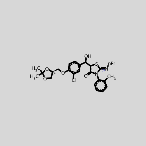 CCC/N=C1\SC(C(O)c2ccc(OC[C@H]3COC(C)(C)O3)c(Cl)c2)C(=O)N1c1ccccc1C